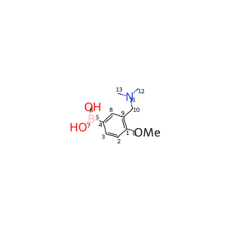 COc1ccc(B(O)O)cc1CN(C)C